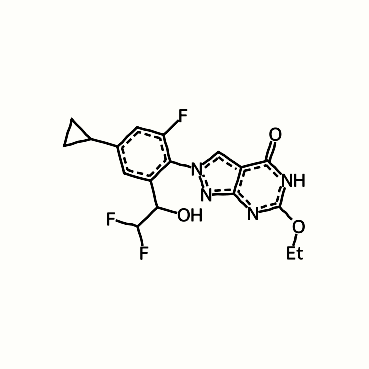 CCOc1nc2nn(-c3c(F)cc(C4CC4)cc3C(O)C(F)F)cc2c(=O)[nH]1